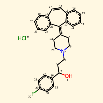 Cl.OC(CCN1CCC(=C2c3ccccc3C=Cc3ccccc32)CC1)c1ccc(F)cc1